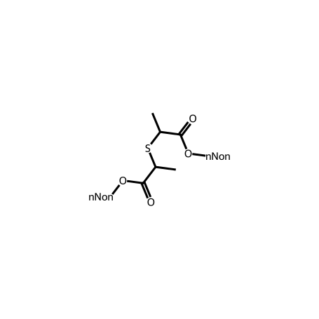 CCCCCCCCCOC(=O)C(C)SC(C)C(=O)OCCCCCCCCC